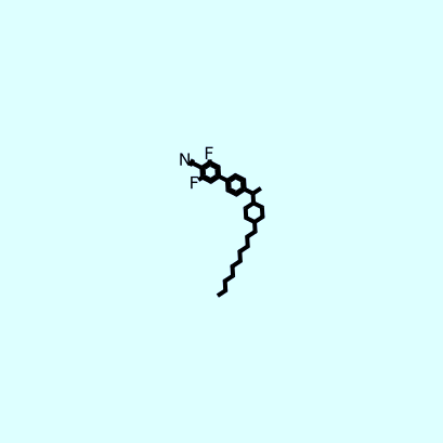 CCCCCCCCCCC1CCC(C(C)c2ccc(-c3cc(F)c(C#N)c(F)c3)cc2)CC1